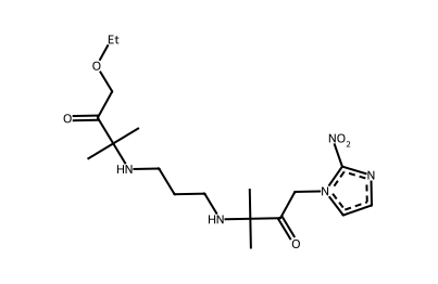 CCOCC(=O)C(C)(C)NCCCNC(C)(C)C(=O)Cn1ccnc1[N+](=O)[O-]